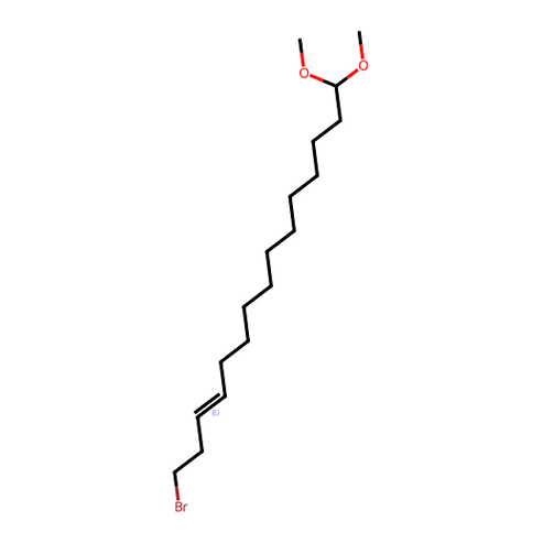 COC(CCCCCCCCCC/C=C/CCBr)OC